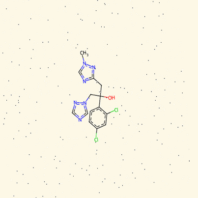 Cn1cnc(CC(O)(Cn2cncn2)c2ccc(Cl)cc2Cl)n1